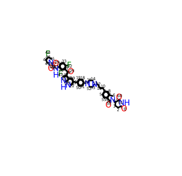 O=C1CCC(N2Cc3cc(/C=C/CN4CCN(c5ccc(-c6cnc7[nH]cc(C(=O)c8c(F)ccc(NS(=O)(=O)N9CC[C@@H](F)C9)c8F)c7c6)cc5)CC4)ccc3C2=O)C(=O)N1